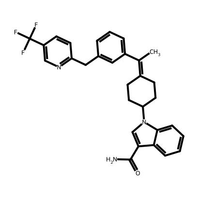 CC(=C1CCC(n2cc(C(N)=O)c3ccccc32)CC1)c1cccc(Cc2ccc(C(F)(F)F)cn2)c1